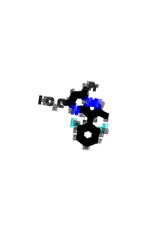 Cc1nn2c(C(C)C)cc(C(=O)O)nc2c1-c1c(F)cccc1F